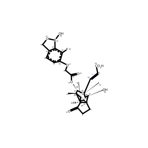 C[C@@H]1CC[C@@]23CCC(=O)[C@H]2[C@]1(C)[C@H](OC(=O)COc1ccc2c(c1F)B(O)OC2)C[C@@](C)(/C=C/C(=O)O)[C@@H](O)C3